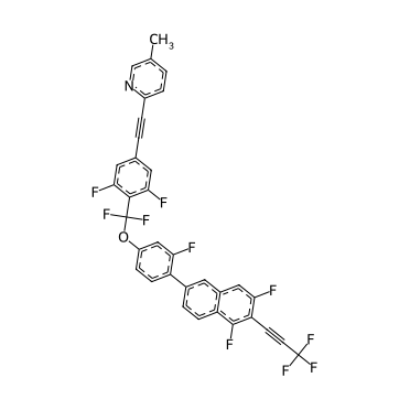 Cc1ccc(C#Cc2cc(F)c(C(F)(F)Oc3ccc(-c4ccc5c(F)c(C#CC(F)(F)F)c(F)cc5c4)c(F)c3)c(F)c2)nc1